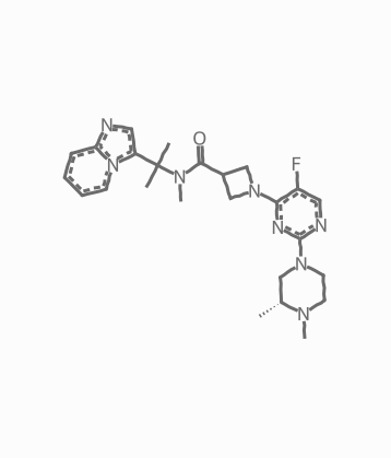 C[C@@H]1CN(c2ncc(F)c(N3CC(C(=O)N(C)C(C)(C)c4cnc5ccccn45)C3)n2)CCN1C